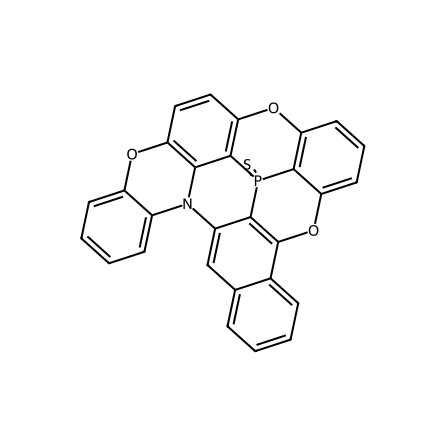 S=P12c3c4cccc3Oc3c1c(cc1ccccc31)N1c3ccccc3Oc3ccc(c2c31)O4